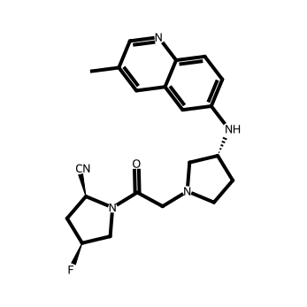 Cc1cnc2ccc(N[C@@H]3CCN(CC(=O)N4C[C@@H](F)C[C@H]4C#N)C3)cc2c1